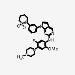 COc1cc(N2CCN(C)CC2)c(F)cc1Nc1ncc2ccn(-c3cccc(N4CCCCS4(=O)=O)c3)c2n1